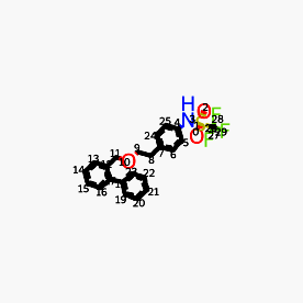 O=S(=O)(Nc1ccc(CCOCc2ccccc2-c2ccccc2)cc1)C(F)(F)F